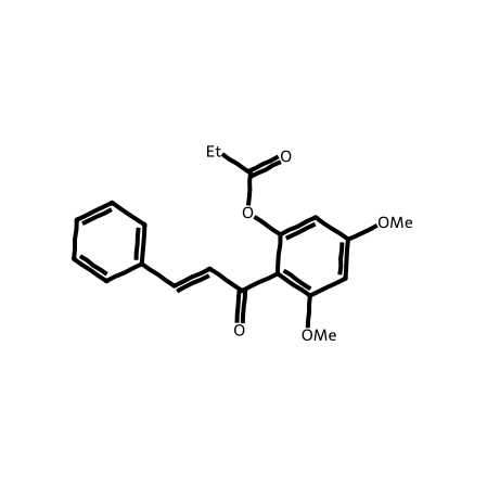 CCC(=O)Oc1cc(OC)cc(OC)c1C(=O)/C=C/c1ccccc1